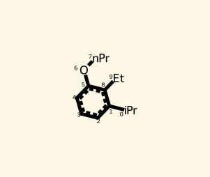 [CH2]C(C)c1cccc(OCCC)c1CC